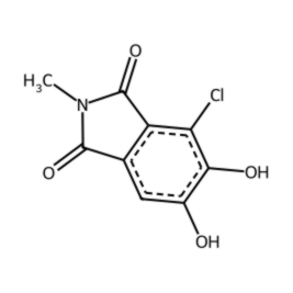 CN1C(=O)c2cc(O)c(O)c(Cl)c2C1=O